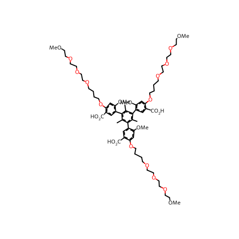 COCCOCCOCCOCCCCOc1cc(OC)c(-c2c(C)c(-c3cc(C(=O)O)c(OCCCCOCCOCCOCCOC)cc3OC)c(C)c(-c3cc(C(=O)O)c(OCCCCOCCOCCOCCOC)cc3OC)c2C)cc1C(=O)O